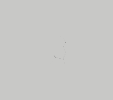 CC(=CCCS(=O)(=O)O)C(N)=O